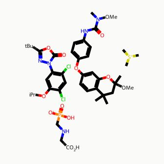 CC(C)Oc1cc(-n2nc(C(C)(C)C)oc2=O)c(Cl)cc1Cl.CON(C)C(=O)Nc1ccc(Oc2ccc3c(c2)OC(C)(OC)CC3(C)C)cc1.C[S+](C)C.O=C(O)CNCP(=O)([O-])O